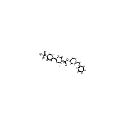 C[C@@H]1CN(c2ncc(C(F)(F)F)cn2)CCN1C(=O)OC1CCN(Cc2ccccc2)CC1